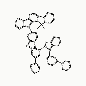 CC1(C)c2ccccc2-c2ccc3c4ccccc4n(-c4ccc5c(c4)oc4cc(-c6ccccc6)cc(-c6nc7ccccc7n6-c6cccc(-c7ccccc7)c6)c45)c3c21